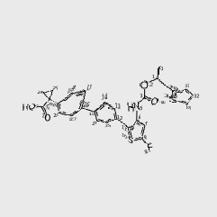 CC(OC(=O)Nc1cc(F)sc1-c1ccc(-c2ccc(C3(C(=O)O)CC3)cc2)cc1)c1cccs1